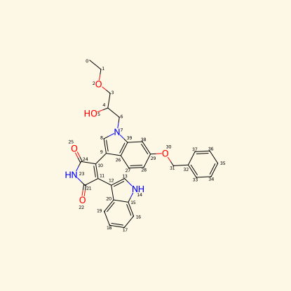 CCOCC(O)Cn1cc(C2=C(c3c[nH]c4ccccc34)C(=O)NC2=O)c2ccc(OCc3ccccc3)cc21